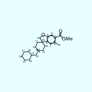 COC(=O)c1cc2c(cc1C)C1(CCN(CC3CCCCC3)CC1)CO2